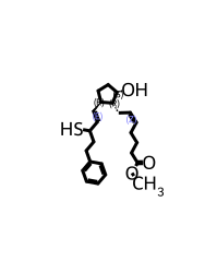 COC(=O)CCC/C=C\C[C@H]1[C@@H](O)CC[C@@H]1/C=C/C(S)CCc1ccccc1